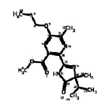 COC(=O)c1cc(OCSC)c(C)nc1C1=NC(C)(C(C)C)C(=O)N1